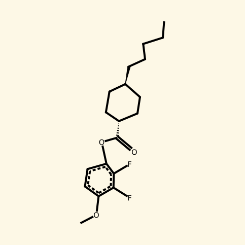 CCCCC[C@H]1CC[C@H](C(=O)Oc2ccc(OC)c(F)c2F)CC1